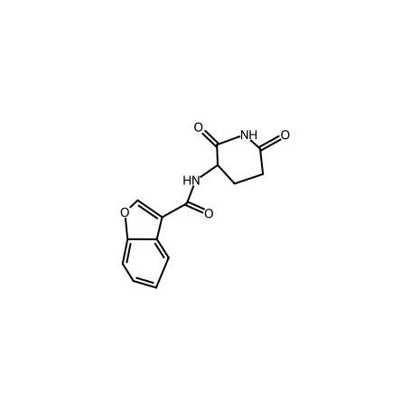 O=C1CCC(NC(=O)c2coc3ccccc23)C(=O)N1